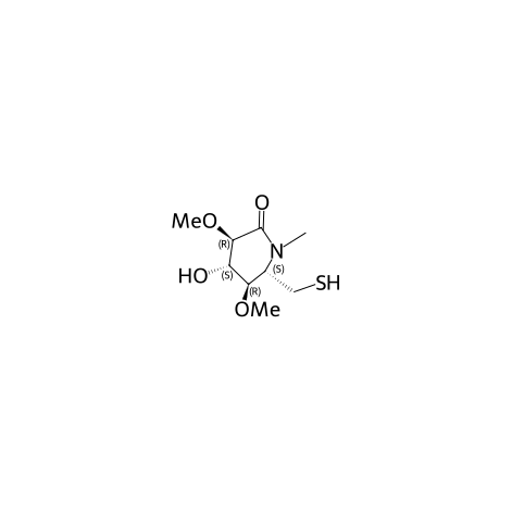 CO[C@H]1[C@H](O)[C@@H](OC)C(=O)N(C)[C@@H]1CS